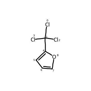 ClC(Cl)(Cl)c1ccco1